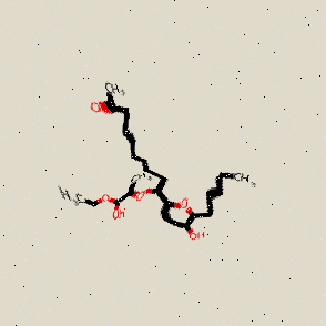 CCCCCC1OC(C(CCCCCCCC(C)=O)OC(C)C(O)OCC)CC1O